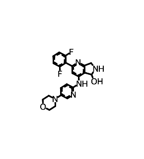 OC1NCc2nc(-c3c(F)cccc3F)cc(Nc3ccc(N4CCOCC4)cn3)c21